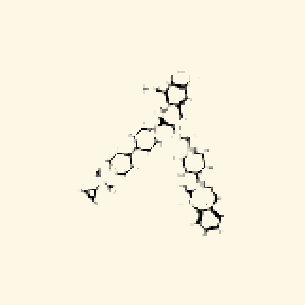 O=C(O[C@H](Cc1cc(Br)c(O)c(Br)c1)C(=O)N1CCC(C2CCN(S(=O)(=O)C3CC3)CC2)CC1)N1CCC(N2CCc3ccccc3NC2=O)CC1